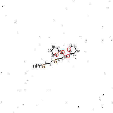 CCCSCCCSCCC(OC1CCCCO1)OC1CCCCO1